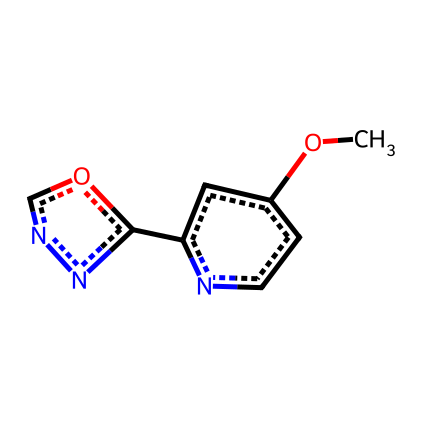 COc1ccnc(-c2nnco2)c1